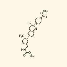 CC(C)(C)OC(=O)NCc1ccc(C(F)(F)F)c(-c2ccc3nc(N4CCN(C(=O)OC(C)(C)C)CC4)c(Cl)cc3c2)c1